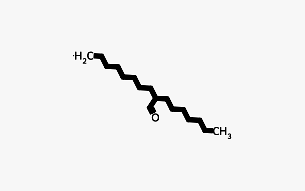 [CH2]CCCCCCCC(C=O)CCCCCCC